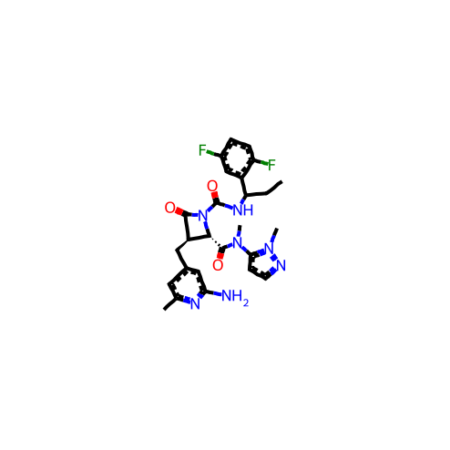 CCC(NC(=O)N1C(=O)[C@H](Cc2cc(C)nc(N)c2)[C@H]1C(=O)N(C)c1ccnn1C)c1cc(F)ccc1F